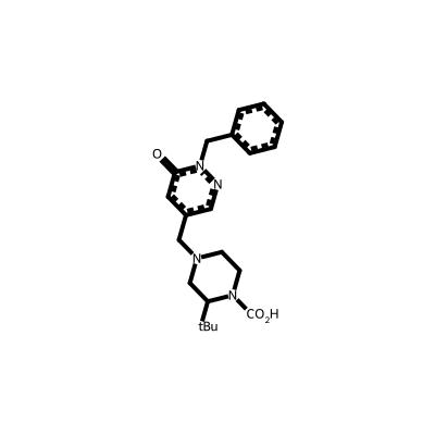 CC(C)(C)C1CN(Cc2cnn(Cc3ccccc3)c(=O)c2)CCN1C(=O)O